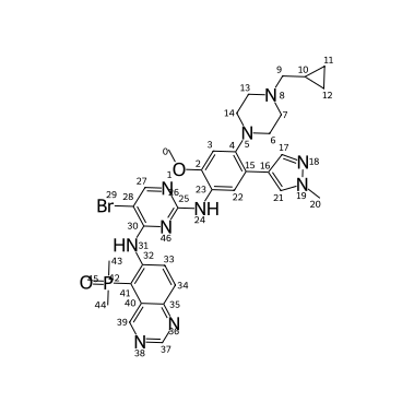 COc1cc(N2CCN(CC3CC3)CC2)c(-c2cnn(C)c2)cc1Nc1ncc(Br)c(Nc2ccc3ncncc3c2P(C)(C)=O)n1